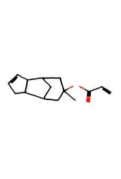 C=CC(=O)OC1(C)CC2CC(C1)C1CC=CC21